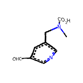 CN(Cc1cncc(C=O)c1)C(=O)O